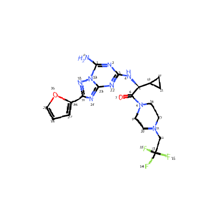 Nc1nc(N[C@H](C(=O)N2CCN(CC(F)(F)F)CC2)C2CC2)nc2nc(-c3ccco3)nn12